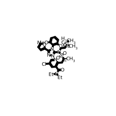 CCN(CC)C(=O)c1cc(Cl)cnc1C[C@H](C)S(=O)(=O)N(CC[Si](C)(C)C)c1nnc(-c2ccco2)n1-c1c(OC)cccc1OC